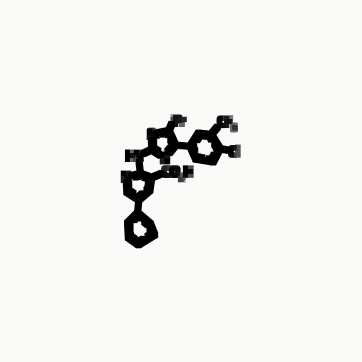 CC(C)c1sc(Nc2ncc(-c3ccccc3)cc2C(=O)O)nc1-c1ccc(Cl)c(C(F)(F)F)c1